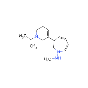 CNN1C=CC=CC(C2=CCCN(C(C)C)C2)C1